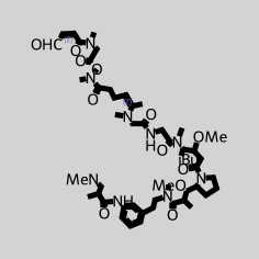 CCC(C)C(C(CC(=O)N1CCCC1C(OC)C(C)C(=O)N(C)CCc1cccc(NC(=O)C(C)CNC)c1)OC)N(C)C(=O)CNC(=O)CN(C)/C(C)=C\CCC(=O)N(C)OC(=O)CN(C)C(=O)/C=C\C=O